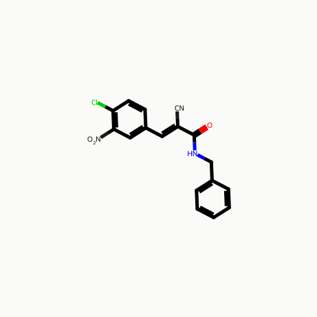 N#C/C(=C\c1ccc(Cl)c([N+](=O)[O-])c1)C(=O)NCc1ccccc1